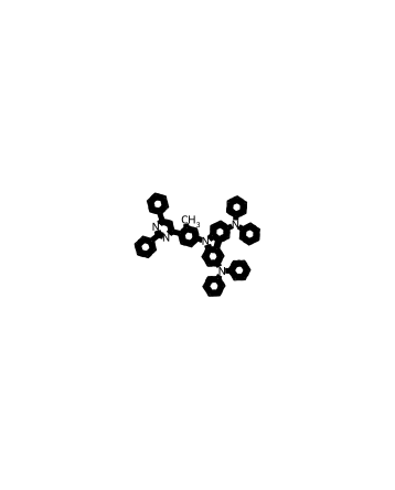 Cc1cc(-n2c3ccc(N(c4ccccc4)c4ccccc4)cc3c3cc(N(c4ccccc4)c4ccccc4)ccc32)ccc1-c1cc(-c2ccccc2)nc(-c2ccccc2)n1